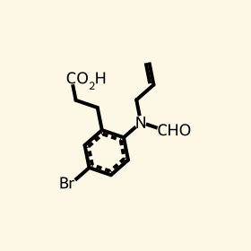 C=CCN(C=O)c1ccc(Br)cc1CCC(=O)O